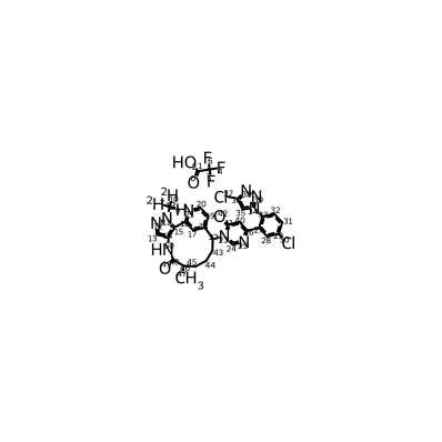 O=C(O)C(F)(F)F.[2H]C([2H])([2H])n1ncc2c1-c1cc(ccn1)[C@@H](n1cnc(-c3cc(Cl)ccc3-n3cc(Cl)nn3)cc1=O)CCC[C@@H](C)C(=O)N2